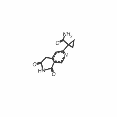 NC(=O)C1(c2cc3c(cn2)C(=O)NC(=O)C3)CC1